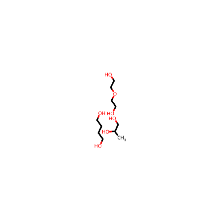 CC(O)CO.OCCCCO.OCCOCCO